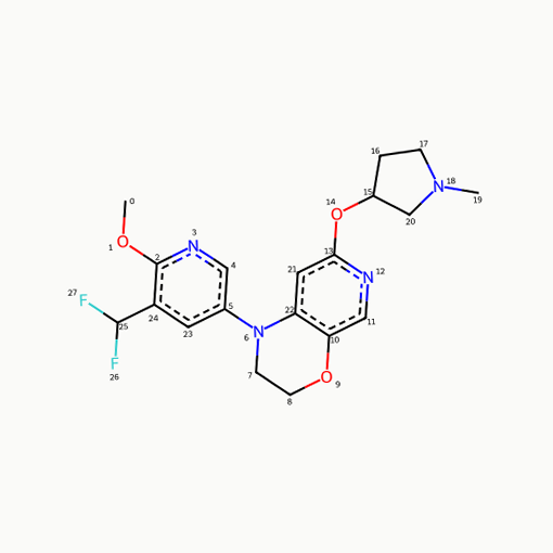 COc1ncc(N2CCOc3cnc(OC4CCN(C)C4)cc32)cc1C(F)F